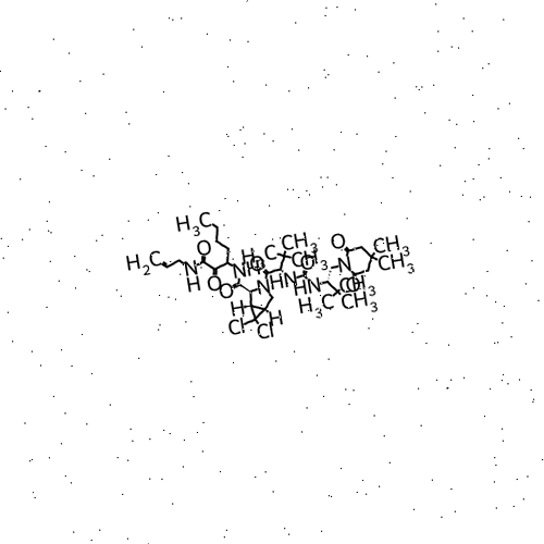 C=CCNC(=O)C(=O)C(CCCC)NC(=O)[C@@H]1[C@@H]2[C@H](CN1C(=O)[C@@H](NC(=O)N[C@H](CN1C(=O)CC(C)(C)CC1=O)C(C)(C)C)C(C)(C)C)C2(Cl)Cl